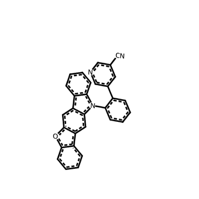 N#Cc1cncc(-c2ccccc2-n2c3ccccc3c3cc4oc5ccccc5c4cc32)c1